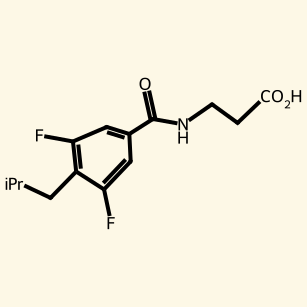 CC(C)Cc1c(F)cc(C(=O)NCCC(=O)O)cc1F